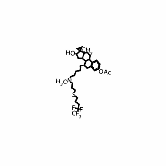 CC(=O)Oc1ccc2c(c1)C[C@@H](CCCCCN(C)CCCSCCCC(F)(F)C(F)(F)F)C1C2CC[C@@]2(C)C1C[C@@H](O)C21CC1